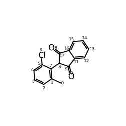 Cc1cccc(Cl)c1C1C(=O)c2ccccc2C1=O